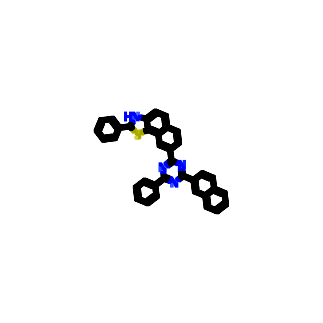 c1ccc(-c2nc(-c3ccc4ccccc4c3)nc(-c3ccc4ccc5c(c4c3)SC(c3ccccc3)N5)n2)cc1